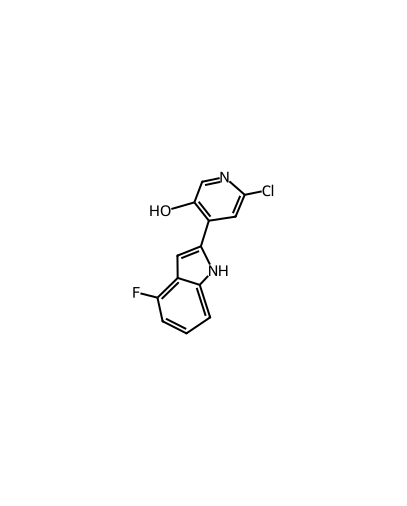 Oc1cnc(Cl)cc1-c1cc2c(F)cccc2[nH]1